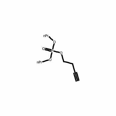 C#CCCOP(=O)(OCCC)OCCC